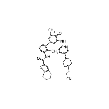 Cc1c(NC(=O)c2cc3c(s2)CCCC3)cccc1-c1cc(Nc2ccc(N3CCN(CCC#N)CC3)cn2)c(=O)n(C)c1